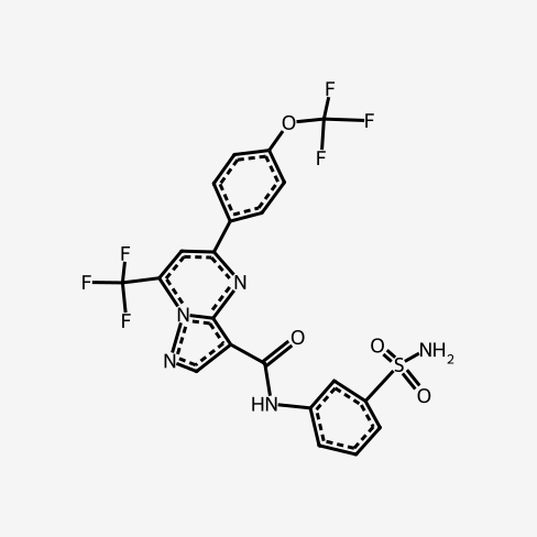 NS(=O)(=O)c1cccc(NC(=O)c2cnn3c(C(F)(F)F)cc(-c4ccc(OC(F)(F)F)cc4)nc23)c1